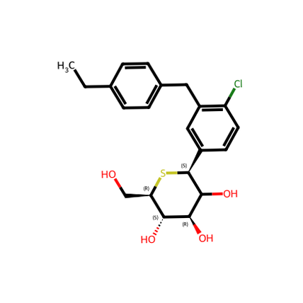 CCc1ccc(Cc2cc([C@@H]3S[C@H](CO)[C@@H](O)[C@H](O)C3O)ccc2Cl)cc1